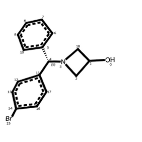 OC1CN([C@@H](c2ccccc2)c2ccc(Br)cc2)C1